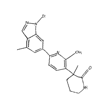 CCn1ncc2c(C)cc(-c3ccc(C4(C)CCCNC4=O)c(O)n3)cc21